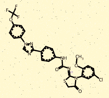 COc1ccc(Cl)cc1N1C(=O)CS/C1=N\C(=O)Nc1ccc(-c2ncn(-c3ccc(OC(F)(F)F)cc3)n2)cc1